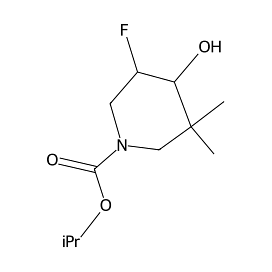 CC(C)OC(=O)N1CC(F)C(O)C(C)(C)C1